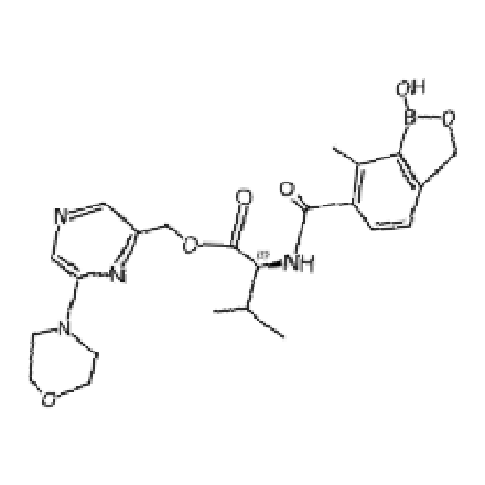 Cc1c(C(=O)N[C@H](C(=O)OCc2cncc(N3CCOCC3)n2)C(C)C)ccc2c1B(O)OC2